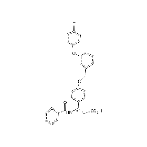 O=C(O)C[C@H](NC(=O)c1ccccc1)c1ccc(OCc2cccc(Oc3ccc(F)cc3)c2)cc1